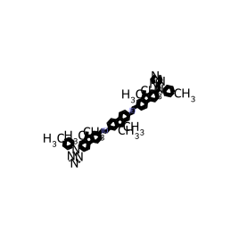 Cc1ccc(N(c2ccc3c(c2)C(C)(C)c2cc(/C=C/c4ccc5c(c4)C(C)(C)c4cc(/C=C/c6ccc7c(c6)C(C)(C)c6cc(N(c8ccc(C)cc8)c8ncncn8)ccc6-7)ccc4-5)ccc2-3)c2ncncn2)cc1